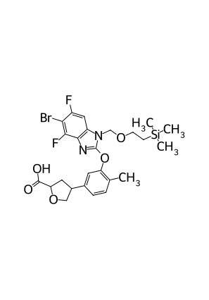 Cc1ccc(C2COC(C(=O)O)C2)cc1Oc1nc2c(F)c(Br)c(F)cc2n1COCC[Si](C)(C)C